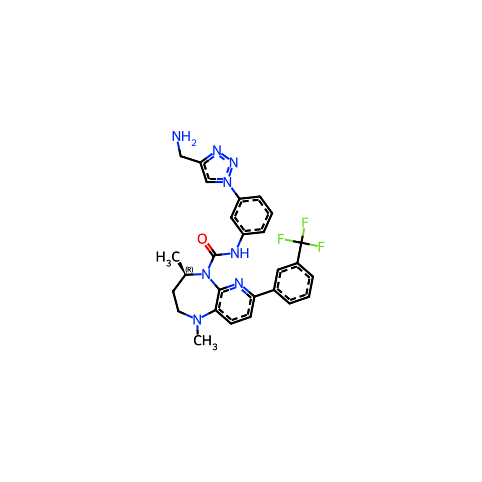 C[C@@H]1CCN(C)c2ccc(-c3cccc(C(F)(F)F)c3)nc2N1C(=O)Nc1cccc(-n2cc(CN)nn2)c1